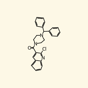 O=C(c1cc2ccccc2nc1Cl)N1CCN(C(c2ccccc2)c2ccccc2)CC1